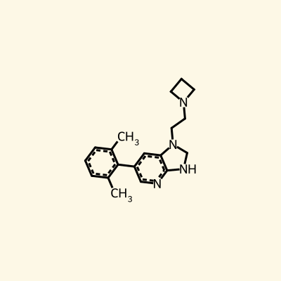 Cc1cccc(C)c1-c1cnc2c(c1)N(CCN1CCC1)CN2